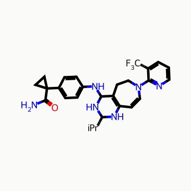 CC(C)C1NC2=C(CCN(c3ncccc3C(F)(F)F)C=C2)C(Nc2ccc(C3(C(N)=O)CC3)cc2)N1